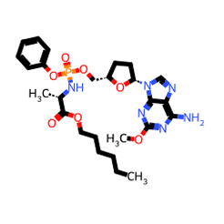 CCCCCCOC(=O)[C@H](C)NP(=O)(OC[C@@H]1CC[C@H](n2cnc3c(N)nc(OC)nc32)O1)Oc1ccccc1